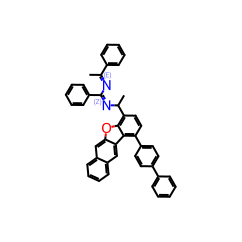 C/C(=N\C(=N/C(C)c1ccc(-c2ccc(-c3ccccc3)cc2)c2c1oc1cc3ccccc3cc12)c1ccccc1)c1ccccc1